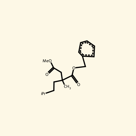 COC(=O)CC(C)(CCC(C)C)C(=O)OCc1ccccc1